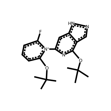 CC(C)(C)Oc1nc(-[n+]2c(F)cccc2OC(C)(C)C)cc2[nH]ncc12